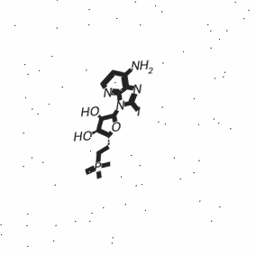 C=P(C)(C)CC[C@H]1OC(n2c(I)nc3c(N)ccnc32)[C@H](O)[C@@H]1O